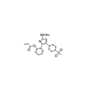 C=CC(=O)Oc1ccccc1-c1nc(NC(C)=O)sc1-c1ccc(S(C)(=O)=O)cc1